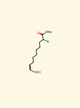 CCCCCCCC/C=C\CCCCCCC(Br)C(=O)OC